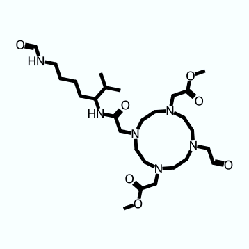 COC(=O)CN1CCN(CC=O)CCN(CC(=O)OC)CCN(CC(=O)NC(CCCCNC=O)C(C)C)CC1